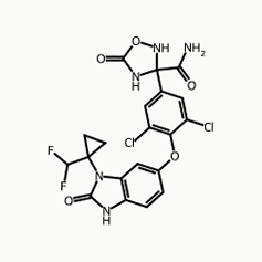 NC(=O)C1(c2cc(Cl)c(Oc3ccc4[nH]c(=O)n(C5(C(F)F)CC5)c4c3)c(Cl)c2)NOC(=O)N1